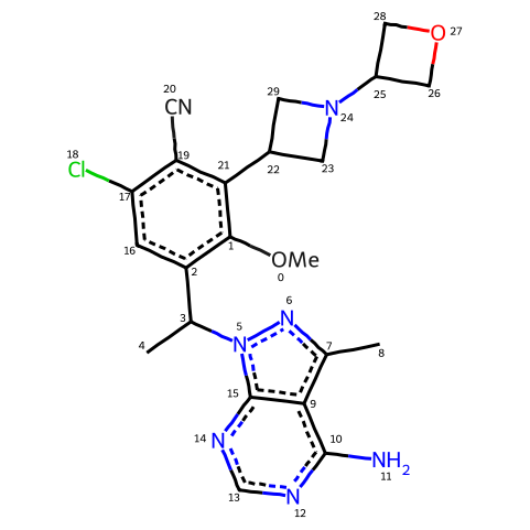 COc1c(C(C)n2nc(C)c3c(N)ncnc32)cc(Cl)c(C#N)c1C1CN(C2COC2)C1